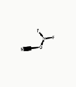 N#CON(F)F